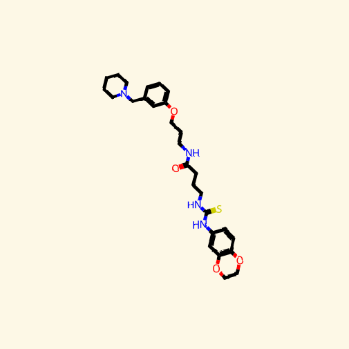 O=C(CCCNC(=S)Nc1ccc2c(c1)OCCO2)NCCCOc1cccc(CN2CCCCC2)c1